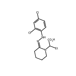 CCC(C(=O)O)N1CCCCC1=NNc1ccc(Cl)cc1Cl